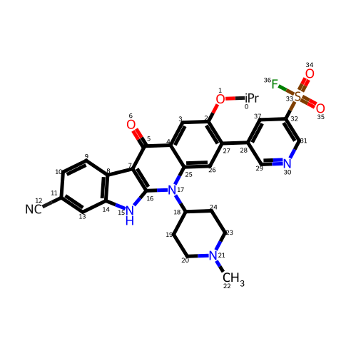 CC(C)Oc1cc2c(=O)c3c4ccc(C#N)cc4[nH]c3n(C3CCN(C)CC3)c2cc1-c1cncc(S(=O)(=O)F)c1